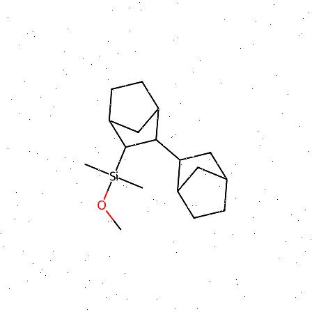 CO[Si](C)(C)C1C2CCC(C2)C1C1CC2CCC1C2